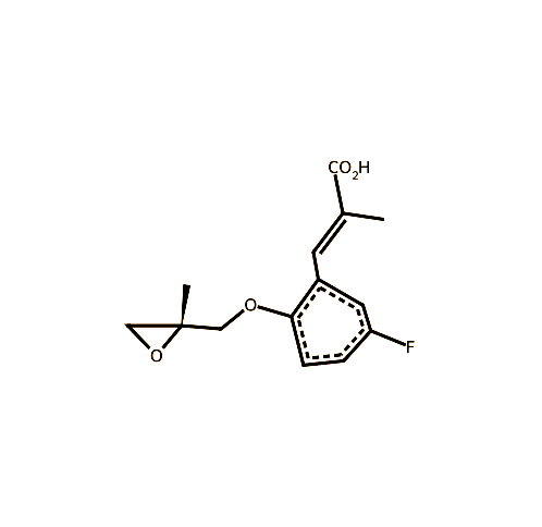 C/C(=C\c1cc(F)ccc1OC[C@@]1(C)CO1)C(=O)O